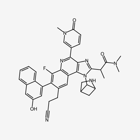 CC(C(=O)N(C)C)c1nc2c(-c3ccc(=O)n(C)c3)nc3c(F)c(-c4cc(O)cc5ccccc45)c(CCC#N)cc3c2n1C1C2CNC1C2